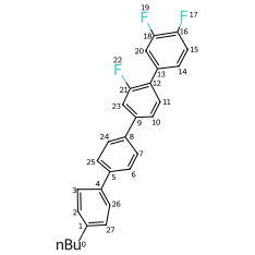 CCCCc1ccc(-c2ccc(-c3ccc(-c4ccc(F)c(F)c4)c(F)c3)cc2)cc1